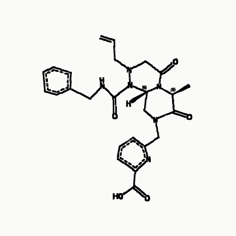 C=CCN1CC(=O)N2[C@@H](C)C(=O)N(Cc3cccc(C(=O)O)n3)C[C@@H]2N1C(=O)NCc1ccccc1